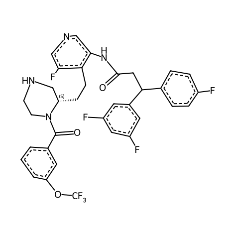 O=C(CC(c1ccc(F)cc1)c1cc(F)cc(F)c1)Nc1cncc(F)c1CC[C@H]1CNCCN1C(=O)c1cccc(OC(F)(F)F)c1